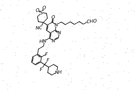 N#CC1(c2cc3c(NCCc4cccc(C(F)(F)C5CCNCC5)c4F)ncnc3n(CCCCCCC=O)c2=O)CCS(=O)(=O)CC1